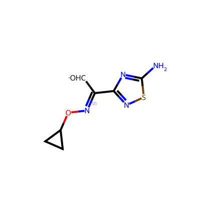 Nc1nc(/C([C]=O)=N/OC2CC2)ns1